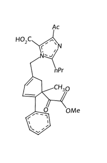 CCCc1nc(C(C)=O)c(C(=O)O)n1CC1=CC=C(c2ccccc2)C(C)(C(=O)C(=O)OC)C1